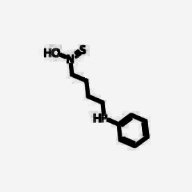 O[N+](=S)CCCCPc1ccccc1